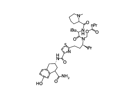 CCCC(=O)OCN(C(=O)C(NC(=O)C1CCCCN1C)C(C)CC)[C@H](CCc1nc(C(=O)N[C@H]2Cc3ccc(O)cc3C(C(N)=O)C2)cs1)C(C)C